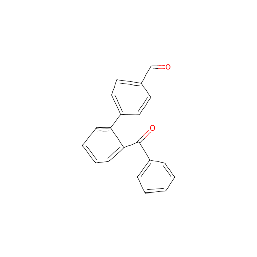 O=Cc1ccc(-c2ccccc2C(=O)c2ccccc2)cc1